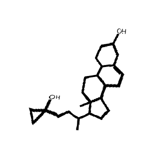 CC(CCC1(O)CC1)C1CCC2C3CC=C4CC(O)CCC4C3CCC12C